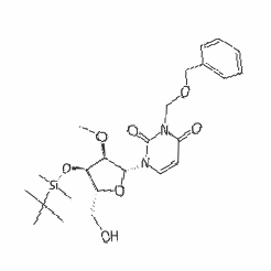 CO[C@@H]1[C@H](O[Si](C)(C)C(C)(C)C)[C@@H](CO)O[C@H]1n1ccc(=O)n(COCc2ccccc2)c1=O